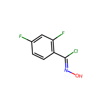 ON=C(Cl)c1ccc(F)cc1F